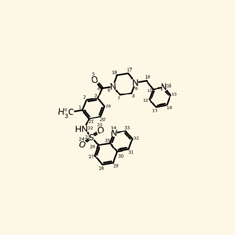 Cc1cc(C(=O)N2CCN(Cc3ccccn3)CC2)ccc1NS(=O)(=O)c1cccc2cccnc12